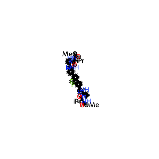 COC(=O)N[C@H](C(=O)N1CCC[C@H]1c1ncc(-c2ccc3c(c2)C(F)(F)c2cc(-c4ccc5nc([C@@H]6CCCN6C(=O)[C@@H](NC(=O)OC)C(C)C)[nH]c5c4)ccc2-3)[nH]1)C(C)C